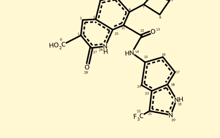 O=C(O)c1cc2ccc(C3CCC3)c(C(=O)Nc3ccc4[nH]nc(C(F)(F)F)c4c3)c2[nH]c1=O